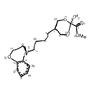 COC(=O)C1(C)OCC(CCCCN2CCOc3ccccc32)CO1